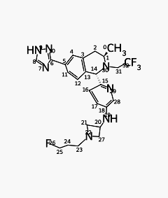 C[C@@H]1Cc2cc(-c3nc[nH]n3)ccc2[C@@H](c2ccc(NC3CN(CCCF)C3)cn2)N1CC(F)(F)F